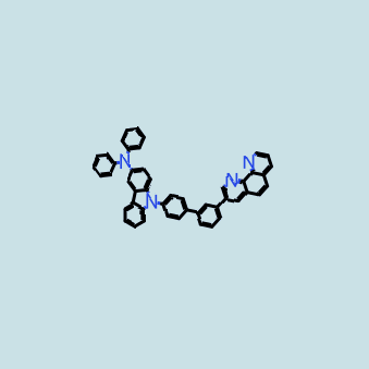 c1ccc(N(c2ccccc2)c2ccc3c(c2)c2ccccc2n3-c2ccc(-c3cccc(-c4cnc5c(ccc6cccnc65)c4)c3)cc2)cc1